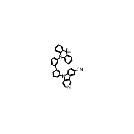 CC1(C)c2ccccc2N(c2cccc(-c3cccc(-n4c5ccncc5c5cc(C#N)ccc54)c3)c2)c2ccccc21